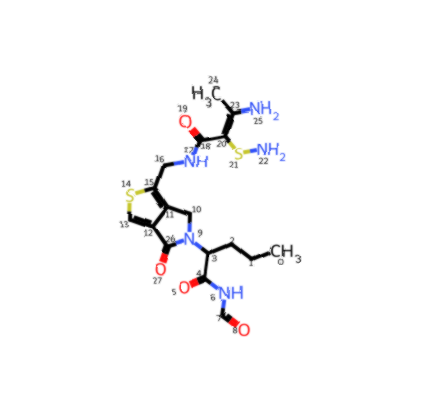 CCCC(C(=O)NC=O)N1Cc2c(csc2CNC(=O)/C(SN)=C(\C)N)C1=O